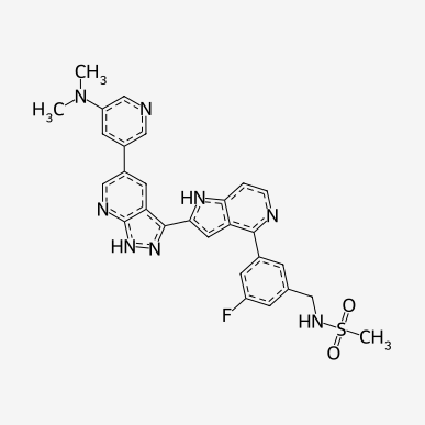 CN(C)c1cncc(-c2cnc3[nH]nc(-c4cc5c(-c6cc(F)cc(CNS(C)(=O)=O)c6)nccc5[nH]4)c3c2)c1